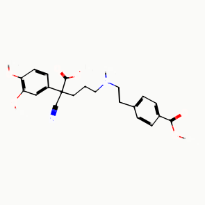 COC(=O)c1ccc(CCN(C)CCCC(C#N)(C(=O)OC)c2ccc(OC)c(OC)c2)cc1